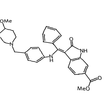 COC(=O)c1ccc2c(c1)NC(=O)C2=C(Nc1ccc(CN2CCC(OC)CC2)cc1)c1ccccc1